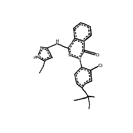 Cc1cc(Nc2nn(-c3ccc(C(C)(C)C)cc3Cl)c(=O)c3ccccc23)n[nH]1